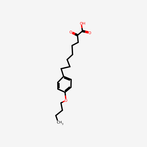 CCCCOc1ccc(CCCCCCC(=O)C(=O)O)cc1